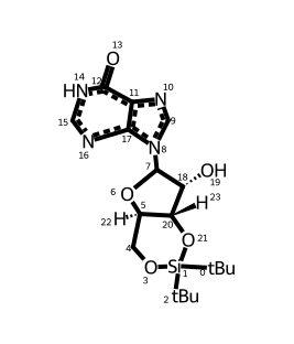 CC(C)(C)[Si]1(C(C)(C)C)OC[C@H]2OC(n3cnc4c(=O)[nH]cnc43)[C@H](O)[C@@H]2O1